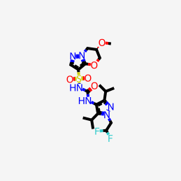 CO[C@@H]1COc2c(S(=O)(=O)NC(=O)Nc3c(C(C)C)nn(CC(F)F)c3C(C)C)cnn2C1